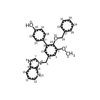 COc1cc(Cn2cnc3cccnc32)cc(-c2ccc(O)cc2)c1OCc1ccccc1